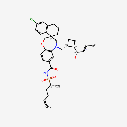 C=CCC[C@@H](C#N)S(=O)(=O)NC(=O)c1ccc2c(c1)N(C[C@@H]1CC[C@H]1[C@@H](O)/C=C/CCC)C[C@@]1(CCCc3cc(Cl)ccc31)CO2